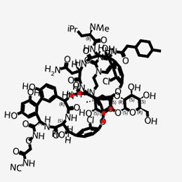 CN[C@H](CC(C)C)C(=O)N[C@H]1C(=O)N[C@@H](CC(N)=O)C(=O)N[C@H]2C(=O)N[C@H]3C(=O)N[C@H](C(=O)N[C@@H](C(=O)NOCC(=O)NC#N)c4cc(O)cc(O)c4-c4cc3ccc4O)[C@H](O)c3ccc(c(Cl)c3)Oc3cc2cc(c3O[C@@H]2O[C@H](CO)[C@@H](O)[C@H](O)[C@H]2O[C@H]2C[C@](C)(NCCn3ccc(NC(=O)CC4CCC(C)CC4)nc3=O)[C@H](O)[C@H](C)O2)Oc2ccc(cc2Cl)[C@H]1O